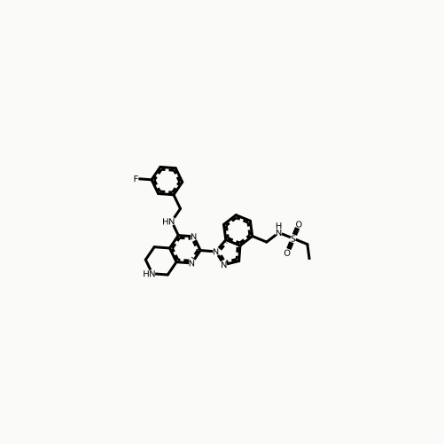 CCS(=O)(=O)NCc1cccc2c1cnn2-c1nc2c(c(NCc3cccc(F)c3)n1)CCNC2